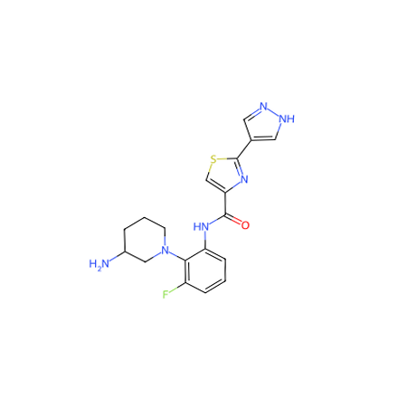 NC1CCCN(c2c(F)cccc2NC(=O)c2csc(-c3cn[nH]c3)n2)C1